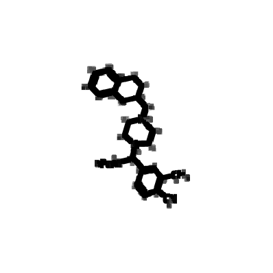 CCCCCC(c1ccc(C#N)c(C)c1)N1CCN(CC2CCc3ccccc3C2)CC1